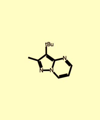 Cc1nn2cccnc2c1C(C)(C)C